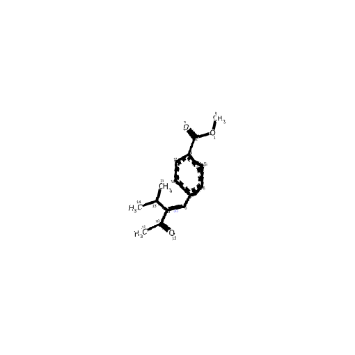 COC(=O)c1ccc(/C=C(/C(C)=O)C(C)C)cc1